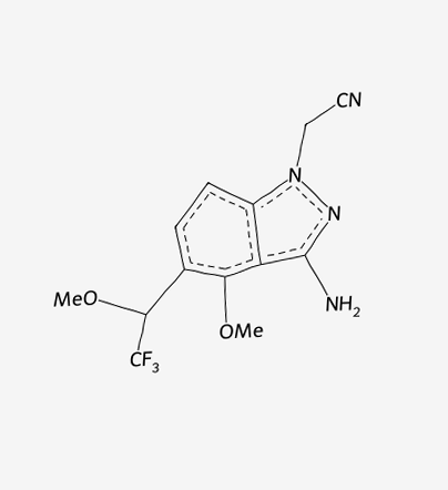 COc1c(C(OC)C(F)(F)F)ccc2c1c(N)nn2CC#N